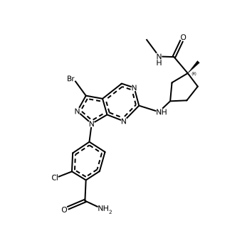 CNC(=O)[C@]1(C)CCC(Nc2ncc3c(Br)nn(-c4ccc(C(N)=O)c(Cl)c4)c3n2)C1